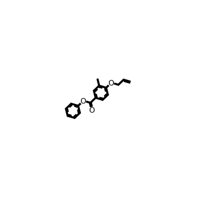 C=CCOc1ccc(C(=O)Oc2ccccc2)cc1C